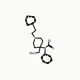 CCC(=O)N(c1ccccc1)C1(COC)CCN(CCc2ccccc2)CC1